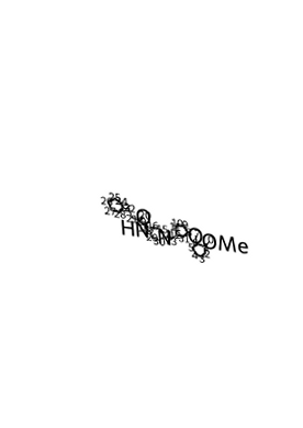 COc1ccccc1Oc1cccc(CN2CCC(NC(=O)CCc3ccccc3)CC2)c1